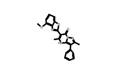 COc1cccc2oc(-c3c(C)[nH]c4c(-c5ccccc5)c(C)nn4c3=O)nc12